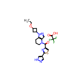 CCOC1CC(n2ncc3c2CCCN3C(=O)c2csc(-c3cn[nH]c3)n2)C1.O=C(O)C(F)(F)F